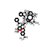 CNc1ccc(OP(O)O)c(CC(=O)O[C@@H](C(=O)O[C@H]2C[C@@]3(O)[C@@H](OC(=O)c4ccccc4)[C@@H]4[C@]5(OC(C)=O)O[C@@H]5C[C@H](O)[C@@]4(C)C(=O)[C@H](OC(C)=O)C(=C2C)C3(C)C)[C@@H](NC(=O)c2ccccc2)c2ccccc2)c1